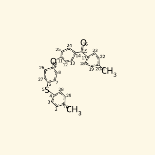 Cc1ccc(Sc2ccc(Oc3ccc(C(=O)c4ccc(C)cc4)cc3)cc2)cc1